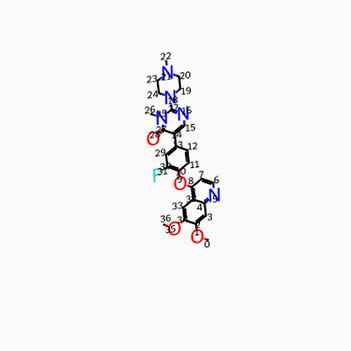 COc1cc2nccc(Oc3ccc(-c4cnc(N5CCN(C)CC5)n(C)c4=O)cc3F)c2cc1OC